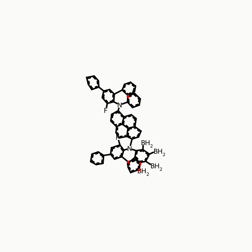 Bc1c(B)c(B)c(N(c2c(F)cc(-c3ccccc3)cc2-c2ccccc2)c2ccc3ccc4c(N(c5ccccc5)c5c(F)cc(-c6ccccc6)cc5-c5ccccc5)ccc5ccc2c3c54)c(F)c1B